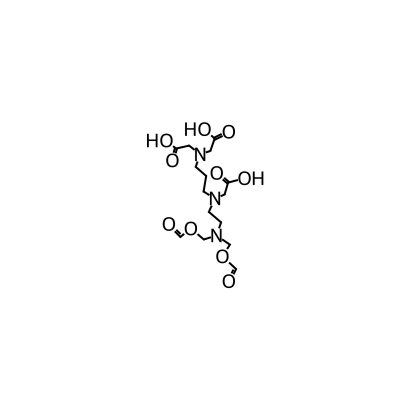 O=COCN(CCN(CCCN(CC(=O)O)CC(=O)O)CC(=O)O)COC=O